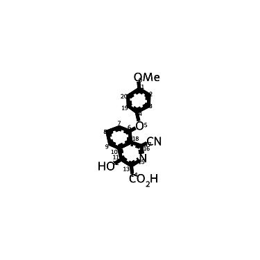 COc1ccc(Oc2cccc3c(O)c(C(=O)O)nc(C#N)c23)cc1